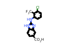 O=C(O)c1ccc2[nH]c(Nc3cccc(Cl)c3C(F)(F)F)nc2c1